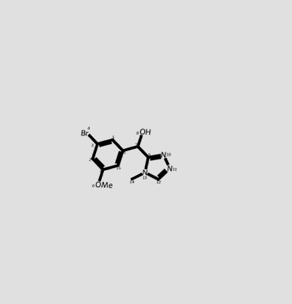 COc1cc(Br)cc(C(O)c2nncn2C)c1